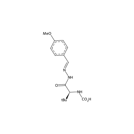 COc1ccc(/C=N/NC(=O)[C@@H](NC(=O)O)C(C)(C)C)cc1